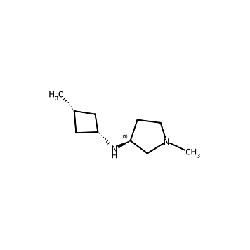 CN1CC[C@H](N[C@H]2C[C@@H](C)C2)C1